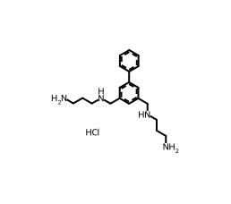 Cl.NCCCNCc1cc(CNCCCN)cc(-c2ccccc2)c1